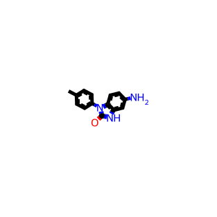 Cc1ccc(-n2c(=O)[nH]c3cc(N)ccc32)cc1